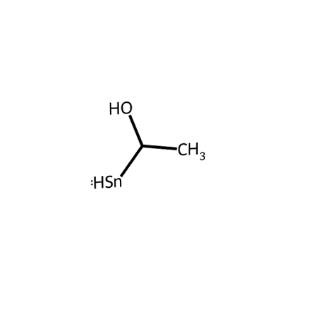 C[CH](O)[SnH]